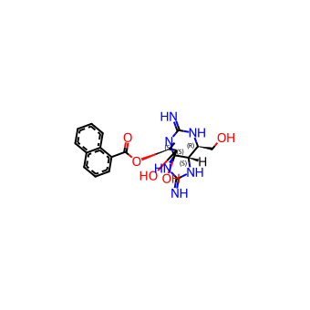 N=C1N[C@H]2[C@H](CO)NC(=N)N3C[C@H](OC(=O)c4cccc5ccccc45)C(O)(O)[C@]23N1